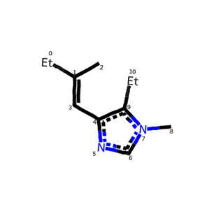 CC/C(C)=C/c1ncn(C)c1CC